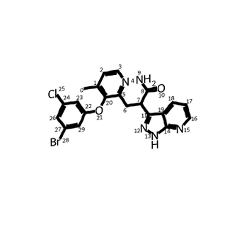 Cc1ccnc(CC(C(N)=O)c2n[nH]c3ncccc23)c1Oc1cc(Cl)cc(Br)c1